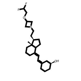 C[C@]12CCC/C(=C\C=C3\CCC[C@H](O)C3)C1CC[C@@H]2CCN1CC(OCC(F)F)C1